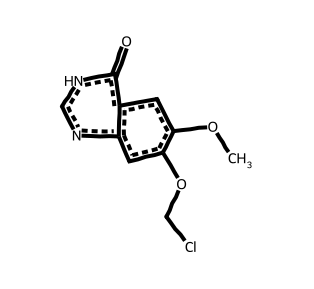 COc1cc2c(=O)[nH]cnc2cc1OCCl